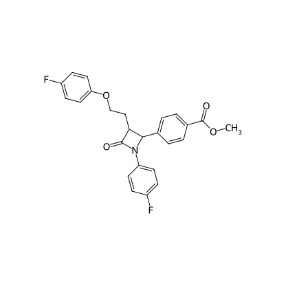 COC(=O)c1ccc(C2C(CCOc3ccc(F)cc3)C(=O)N2c2ccc(F)cc2)cc1